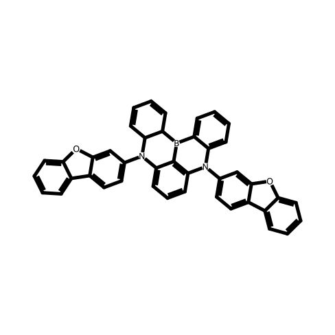 C1=CC2B3c4ccccc4N(c4ccc5c(c4)oc4ccccc45)c4cccc(c43)N(c3ccc4c(c3)oc3ccccc34)C2C=C1